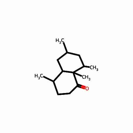 CC1CC(C)C2(C)C(=O)CCC(C)C2C1